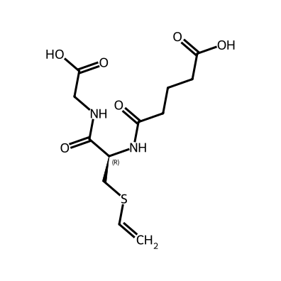 C=CSC[C@H](NC(=O)CCCC(=O)O)C(=O)NCC(=O)O